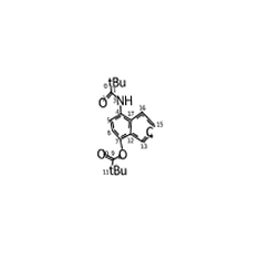 CC(C)(C)C(=O)Nc1ccc(OC(=O)C(C)(C)C)c2ccccc12